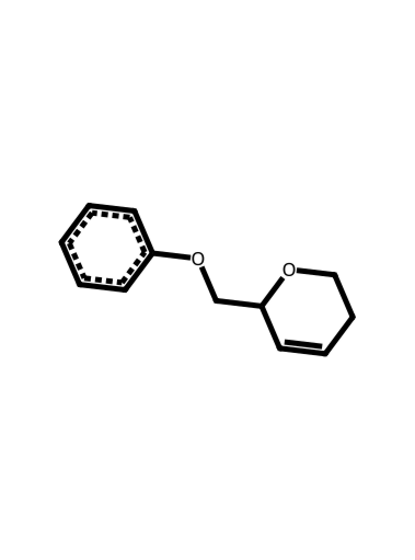 C1=CC(COc2ccccc2)OCC1